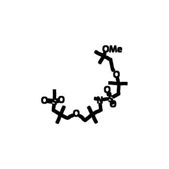 COC(C)(C)CCOC(C)(C)CS(=O)(=O)N(C)CC(C)(C)COCC(C)(C)CS(C)(=O)=O